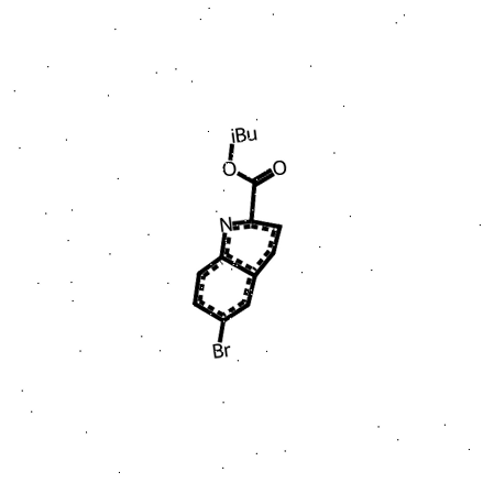 CCC(C)OC(=O)c1ccc2cc(Br)ccc2n1